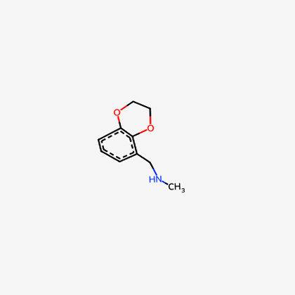 CNCc1cccc2c1OCCO2